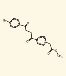 COC(=O)Cc1ccc(C(=O)CCC(=O)c2ccc(Br)cc2)cc1